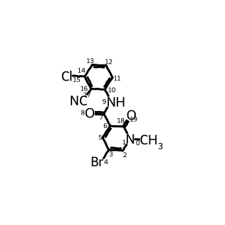 Cn1cc(Br)cc(C(=O)Nc2cccc(Cl)c2C#N)c1=O